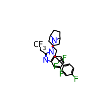 Fc1ccc(C(F)(F)CCCN2C3CCC2CC(n2c(CC(F)(F)F)nc4cc(F)ccc42)C3)cc1